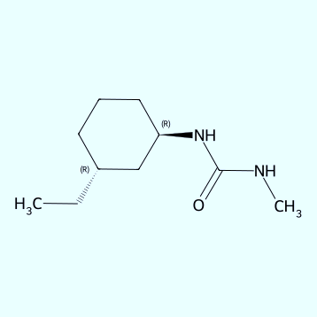 CC[C@@H]1CCC[C@@H](NC(=O)NC)C1